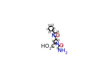 NCC(=O)N1C[C@H](c2nc(-c3ccccc3)co2)C[C@H]1C(=O)O